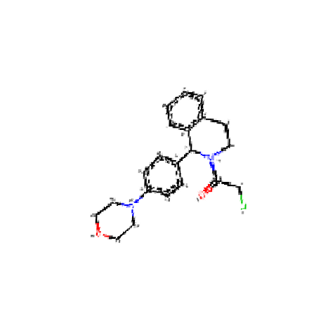 O=C(CCl)N1CCc2ccccc2C1c1ccc(N2CCOCC2)cc1